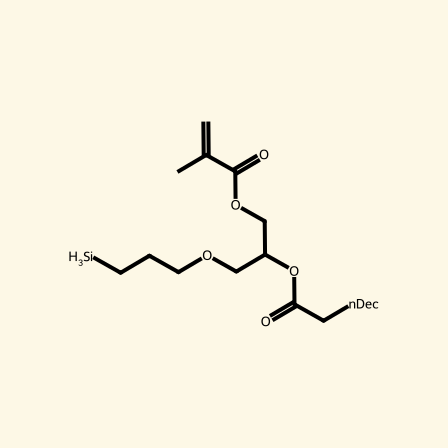 C=C(C)C(=O)OCC(COCCC[SiH3])OC(=O)CCCCCCCCCCC